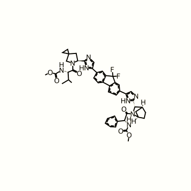 COC(=O)N[C@H](C(=O)N1CC2(CC2)C[C@H]1c1ncc(-c2ccc3c(c2)C(F)(F)c2cc(-c4cnc([C@@H]5[C@H]6CC[C@H](C6)N5C(=O)[C@H](NC(=O)OC)c5ccccc5)[nH]4)ccc2-3)[nH]1)C(C)C